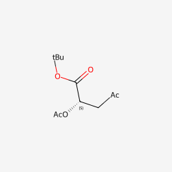 CC(=O)C[C@H](OC(C)=O)C(=O)OC(C)(C)C